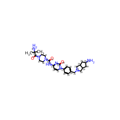 CC(C)(N)C(=O)N1CCN(C(=O)Nc2ccn(-c3ccc(CN4CC5CC(N)CC5C4)cc3)c(=O)n2)CC1